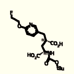 CC(C)(C)OC(=O)N[C@@H](C[C@H](Cc1ccc(OCCF)nc1)C(=O)O)C(=O)O